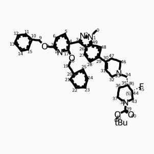 Cn1nc(-c2ccc(OCc3ccccc3)nc2OCc2ccccc2)c2ccc(C3=CCN(C[C@H]4CCN(C(=O)OC(C)(C)C)C[C@H]4F)CC3)cc21